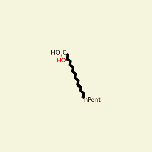 CCCCCC=CCC=CCCCCCCC[C@@H](O)CC(=O)O